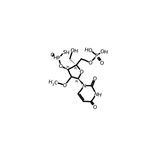 COC1[C@H](n2ccc(=O)[nH]c2=O)O[C@](CO)(COP(=O)(O)O)[C@@H]1O[PH](=O)S